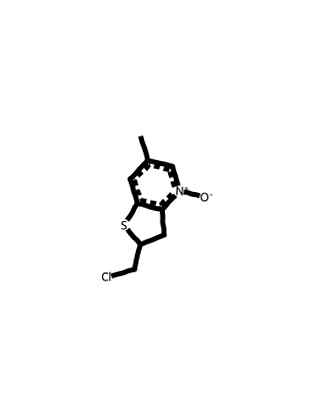 Cc1cc2c([n+]([O-])c1)CC(CCl)S2